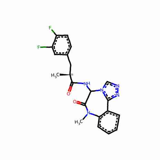 C[C@@H](Cc1ccc(F)c(F)c1)C(=O)NC1C(=O)N(C)c2ccccc2-c2nncn21